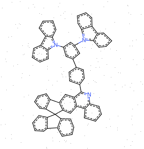 c1ccc2c(c1)-c1ccccc1C21c2ccccc2-c2cc3c(-c4ccc(-c5cc(-n6c7ccccc7c7ccccc76)cc(-n6c7ccccc7c7ccccc76)c5)cc4)nc4ccccc4c3cc21